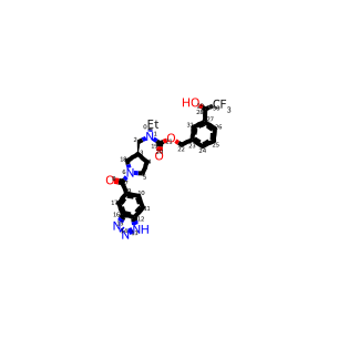 CCN(C[C@H]1CCN(C(=O)c2ccc3[nH]nnc3c2)C1)C(=O)OCc1cccc(C(O)C(F)(F)F)c1